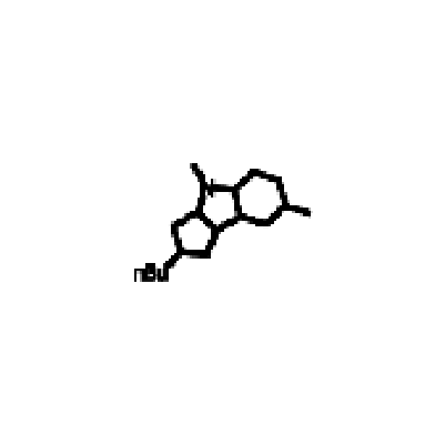 CCCCC1CC2C3CC(C)CCC3N(C)C2C1